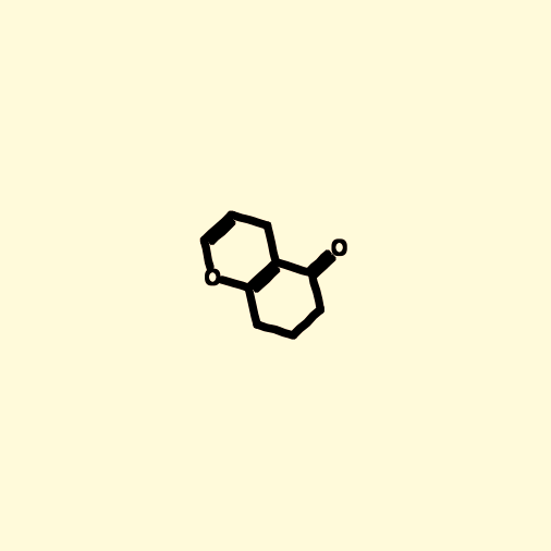 O=C1CCCC2=C1CC=CO2